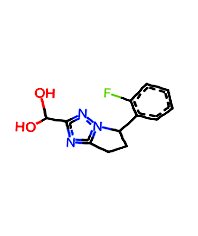 OC(O)c1nc2n(n1)C(c1ccccc1F)CC2